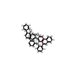 c1cc(-c2ccc3c(c2)oc2ccccc23)cc(N(c2ccccc2-c2ccc3ccccc3c2)c2cccc3oc4ccccc4c23)c1